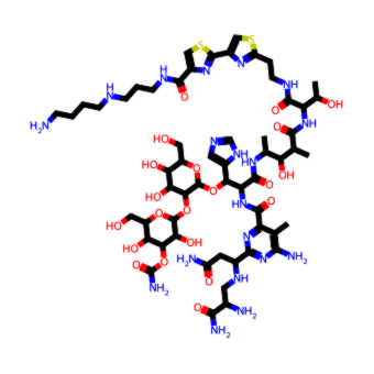 Cc1c(N)nc(C(CC(N)=O)NCC(N)C(N)=O)nc1C(=O)NC(C(=O)NC(C)C(O)C(C)C(=O)NC(C(=O)NCCc1nc(-c2nc(C(=O)NCCCNCCCCN)cs2)cs1)C(C)O)C(OC1OC(CO)C(O)C(O)C1OC1OC(CO)C(O)C(OC(N)=O)C1O)c1cnc[nH]1